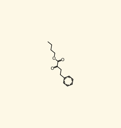 CCCCOC(=O)C(=O)CCc1ccccc1